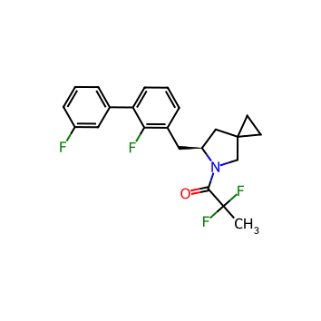 CC(F)(F)C(=O)N1CC2(CC2)C[C@@H]1Cc1cccc(-c2cccc(F)c2)c1F